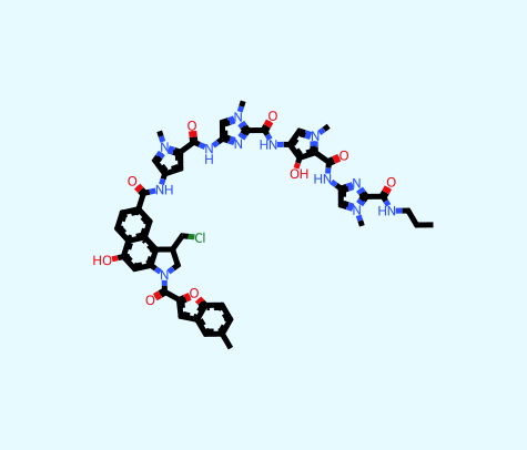 CCCNC(=O)c1nc(NC(=O)c2c(O)c(NC(=O)c3nc(NC(=O)c4cc(NC(=O)c5ccc6c(O)cc7c(c6c5)C(CCl)CN7C(=O)c5cc6cc(C)ccc6o5)cn4C)cn3C)cn2C)cn1C